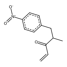 C=CC(=O)C(C)Cc1ccc([N+](=O)[O-])cc1